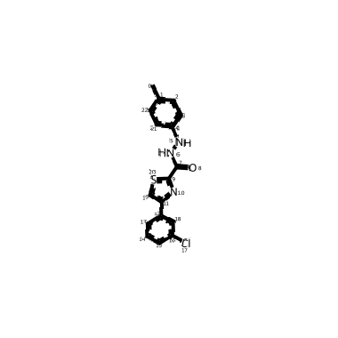 Cc1ccc(NNC(=O)c2nc(-c3cccc(Cl)c3)cs2)cc1